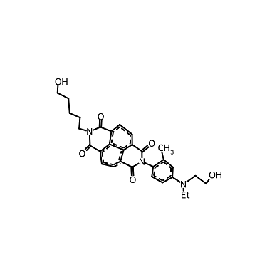 CCN(CCO)c1ccc(N2C(=O)c3ccc4c5c(ccc(c35)C2=O)C(=O)N(CCCCCO)C4=O)c(C)c1